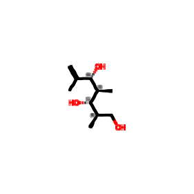 C=C(C)[C@H](O)[C@@H](C)[C@@H](O)[C@H](C)CO